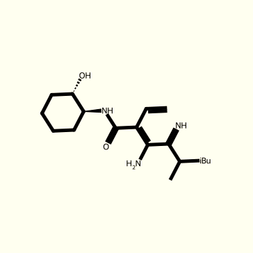 C=C/C(C(=O)N[C@H]1CCCC[C@@H]1O)=C(/N)C(=N)C(C)C(C)CC